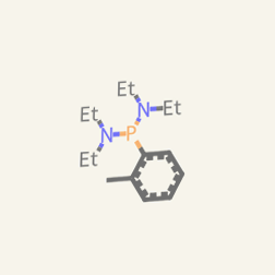 CCN(CC)P(c1ccccc1C)N(CC)CC